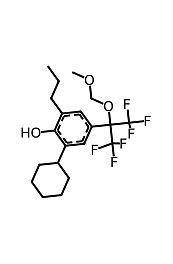 CCCc1cc(C(OCOC)(C(F)(F)F)C(F)(F)F)cc(C2CCCCC2)c1O